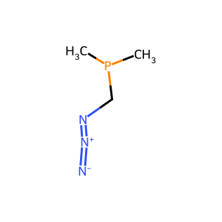 CP(C)CN=[N+]=[N-]